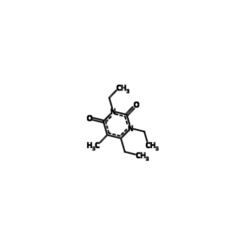 CCc1c(C)c(=O)n(CC)c(=O)n1CC